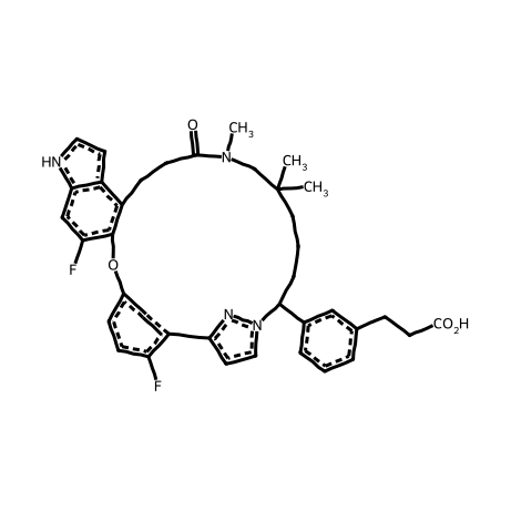 CN1CC(C)(C)CCCC(c2cccc(CCC(=O)O)c2)n2ccc(n2)-c2cc(ccc2F)Oc2c(F)cc3[nH]ccc3c2CCC1=O